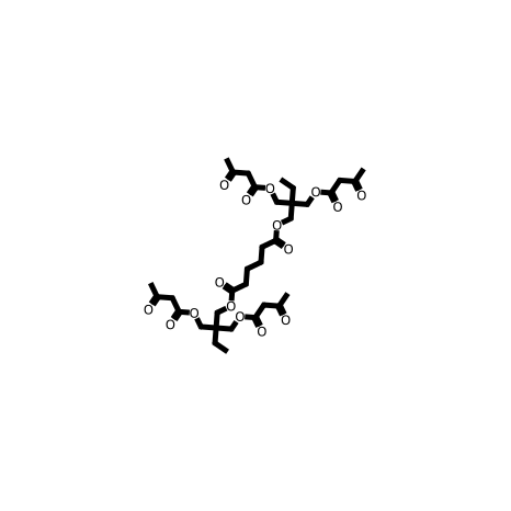 CCC(COC(=O)CCCCC(=O)OCC(CC)(COC(=O)CC(C)=O)COC(=O)CC(C)=O)(COC(=O)CC(C)=O)COC(=O)CC(C)=O